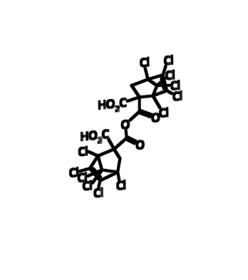 O=C(O)C1(C(=O)OC(=O)C2(C(=O)O)CC3(Cl)C(Cl)=C(Cl)C2(Cl)C3(Cl)Cl)CC2(Cl)C(Cl)=C(Cl)C1(Cl)C2(Cl)Cl